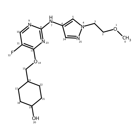 COCCn1cc(Nc2ncc(F)c(OCC3CCC(O)CC3)n2)cn1